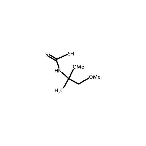 COCC(C)(NC(=S)S)OC